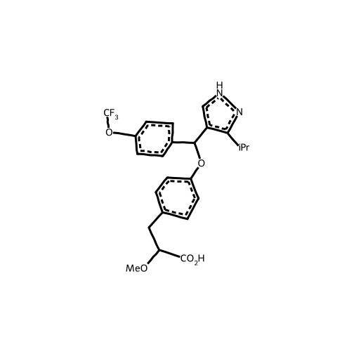 COC(Cc1ccc(OC(c2ccc(OC(F)(F)F)cc2)c2c[nH]nc2C(C)C)cc1)C(=O)O